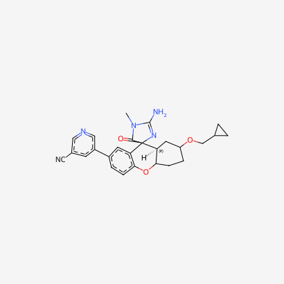 CN1C(=O)C2(N=C1N)c1cc(-c3cncc(C#N)c3)ccc1OC1CCC(OCC3CC3)C[C@@H]12